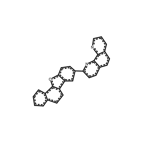 c1ccc2c(c1)ccc1c3cc(-c4ccc5ccc6cccnc6c5n4)ccc3oc21